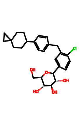 OC[C@H]1OC(c2ccc(Cl)c(Cc3ccc(C4CCC5(CC4)CC5)cc3)c2)[C@H](O)[C@@H](O)[C@@H]1O